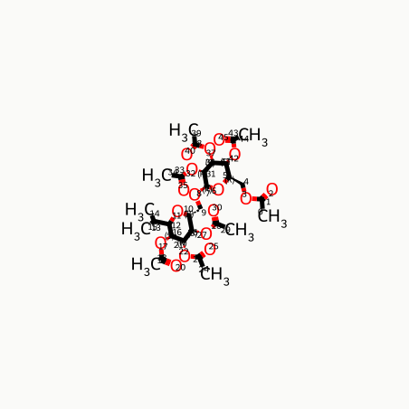 CC(=O)OC[C@H]1O[C@@H](OC[C@H]2OC(C(C)C)[C@H](OC(C)=O)[C@@H](OC(C)=O)[C@H]2OC(C)=O)[C@H](OC(C)=O)[C@@H](OC(C)=O)[C@H]1OC(C)=O